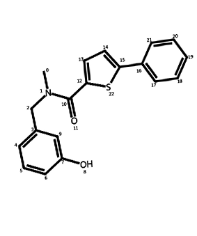 CN(Cc1cccc(O)c1)C(=O)c1ccc(-c2ccccc2)s1